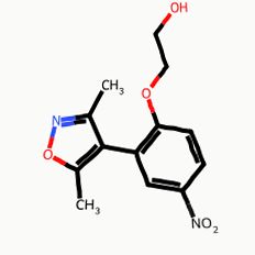 Cc1noc(C)c1-c1cc([N+](=O)[O-])ccc1OCCO